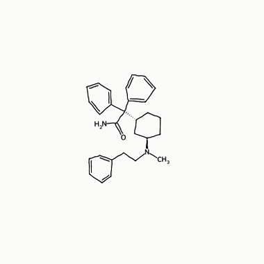 CN(CCc1ccccc1)[C@@H]1CCC[C@@H](C(C(N)=O)(c2ccccc2)c2ccccc2)C1